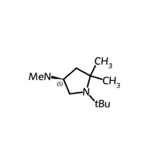 CN[C@@H]1CN(C(C)(C)C)C(C)(C)C1